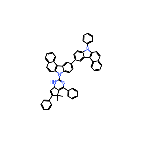 CC1(C)C(c2ccccc2)=CC2NC(n3c4ccc(-c5ccc6c(c5)c5c7ccccc7ccc5n6-c5ccccc5)cc4c4c5ccccc5ccc43)=NC(c3ccccc3)=C21